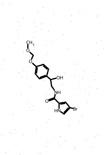 COCOc1ccc(C(O)CNC(=O)c2cc(Br)c[nH]2)cc1